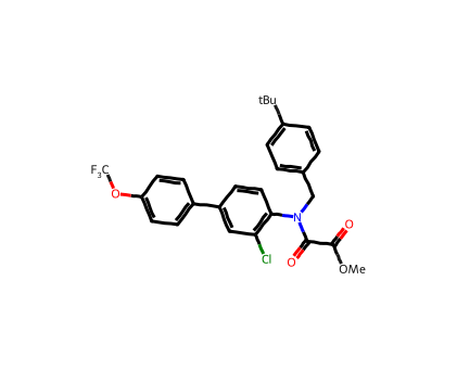 COC(=O)C(=O)N(Cc1ccc(C(C)(C)C)cc1)c1ccc(-c2ccc(OC(F)(F)F)cc2)cc1Cl